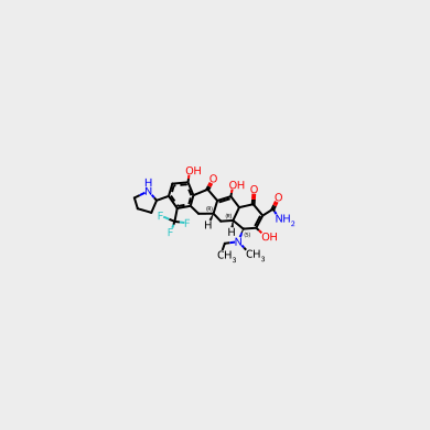 CCN(C)[C@@H]1C(O)=C(C(N)=O)C(=O)C2C(O)=C3C(=O)c4c(O)cc(C5CCCN5)c(C(F)(F)F)c4C[C@H]3C[C@H]21